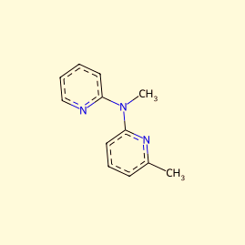 Cc1cccc(N(C)c2ccccn2)n1